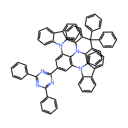 c1ccc(-c2nc(-c3ccccc3)nc(-c3cc(-n4c5ccccc5c5ccccc54)c(N4c5ccccc5C(c5ccccc5)(c5ccccc5)c5ccccc54)c(-n4c5ccccc5c5ccccc54)c3)n2)cc1